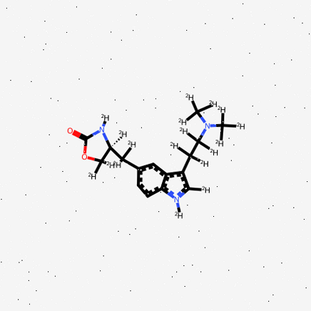 [2H]c1c(C([2H])([2H])C([2H])([2H])N(C([2H])([2H])[2H])C([2H])([2H])[2H])c2cc(C([2H])([2H])[C@]3([2H])N([2H])C(=O)OC3([2H])[2H])ccc2n1[2H]